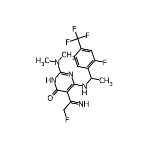 CC(Nc1nc(N(C)C)[nH]c(=O)c1C(=N)CF)c1ccc(C(F)(F)F)cc1F